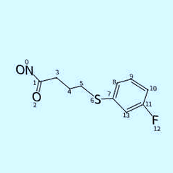 O=NC(=O)CCCSc1cccc(F)c1